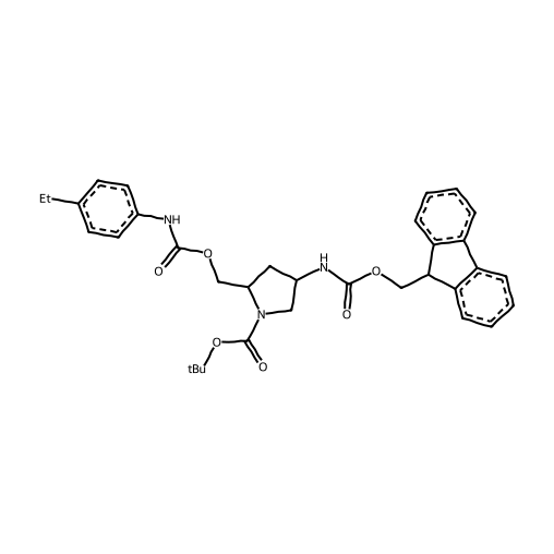 CCc1ccc(NC(=O)OCC2CC(NC(=O)OCC3c4ccccc4-c4ccccc43)CN2C(=O)OC(C)(C)C)cc1